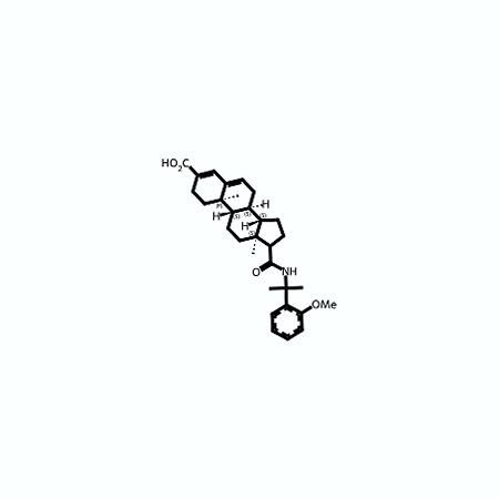 COc1ccccc1C(C)(C)NC(=O)C1CC[C@H]2[C@@H]3CC=C4C=C(C(=O)O)CC[C@]4(C)[C@H]3CC[C@]12C